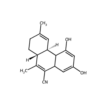 CC1=C[C@H]2C3C(O)=CC(O)=CC3C(C#N)=C(C)[C@@H]2CC1